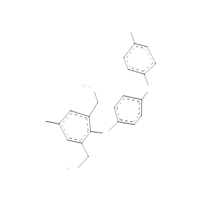 CCc1ccc(Oc2ccc(Oc3c(COC)cc(C)cc3COC)cc2)cc1